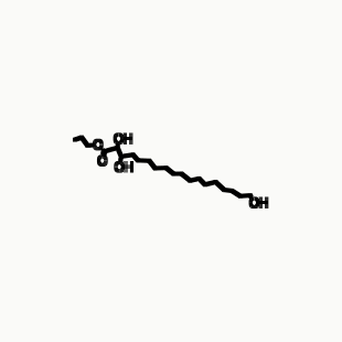 CCCOC(=O)C(O)C(O)CCCCCCCCCCCCCCCO